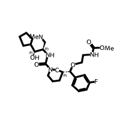 CNC[C@@H](NC(=O)N1CCC[C@@H](C(OCCNC(=O)OC)c2cccc(F)c2)C1)[C@H](O)C1CCCC1